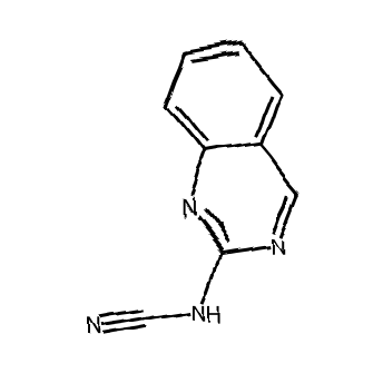 N#CNc1ncc2ccccc2n1